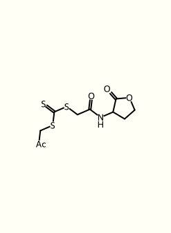 CC(=O)CSC(=S)SCC(=O)NC1CCOC1=O